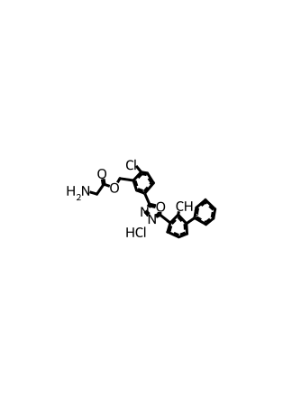 Cc1c(-c2ccccc2)cccc1-c1nnc(-c2ccc(Cl)c(COC(=O)CN)c2)o1.Cl